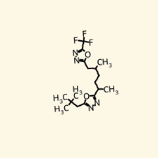 CC(CCC(C)c1nnc(CC(C)(C)C)o1)Cc1nnc(C(F)(F)F)o1